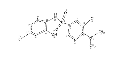 CN(C)c1ncc(S(=O)(=O)Nc2ncc(Cl)cc2O)cc1Cl